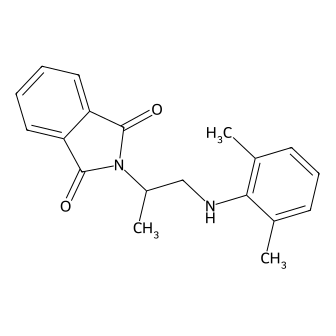 Cc1cccc(C)c1NCC(C)N1C(=O)c2ccccc2C1=O